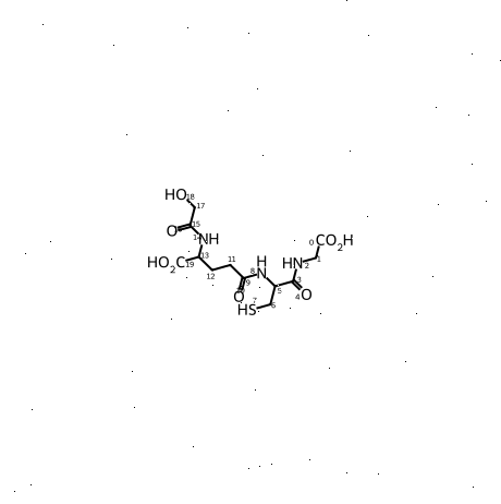 O=C(O)CNC(=O)C(CS)NC(=O)CCC(NC(=O)CO)C(=O)O